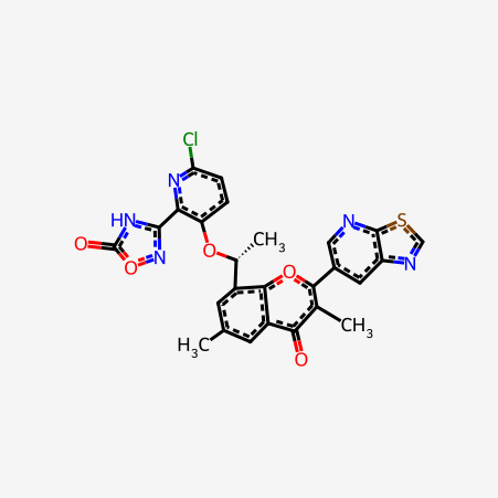 Cc1cc([C@@H](C)Oc2ccc(Cl)nc2-c2noc(=O)[nH]2)c2oc(-c3cnc4scnc4c3)c(C)c(=O)c2c1